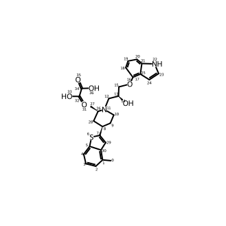 Cc1cccc2sc([C@@H]3CCN(C[C@H](O)COc4cccc5[nH]ccc45)[C@H](C)C3)cc12.O=C(O)C(=O)O